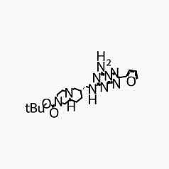 CC(C)(C)OC(=O)N1CCN2C[C@H](CNc3nc(N)n4nc(-c5ccco5)nc4n3)CC[C@H]2C1